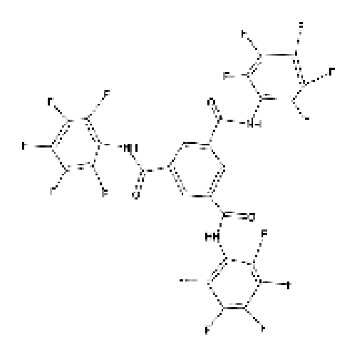 O=C(Nc1c(F)c(F)c(F)c(F)c1F)c1cc(C(=O)Nc2c(F)c(F)c(F)c(F)c2F)cc(C(=O)Nc2c(F)c(F)c(F)c(F)c2F)c1